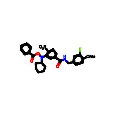 COc1ccc(CNC(=O)c2ccc([N+](=O)[O-])c(N(OC(=O)c3ccccc3)C3CCCCC3)c2)cc1F